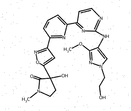 COc1nn(CCO)cc1Nc1nccc(-c2cccc(-c3cc(C4(O)CCN(C)C4=O)on3)n2)n1